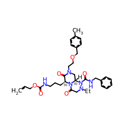 C=CCOC(=O)NCCC[C@H]1C(=O)N(CCOCc2ccc(C)cc2)C[C@H]2N1C(=O)CN(CC)N2C(=O)NCc1ccccc1